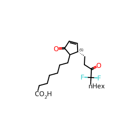 CCCCCCC(F)(F)C(=O)CC[C@H]1C=CC(=O)C1CCCCCCC(=O)O